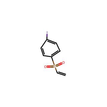 C=CS(=O)(=O)c1ccc(I)cc1